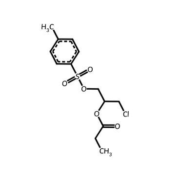 CCC(=O)OC(CCl)COS(=O)(=O)c1ccc(C)cc1